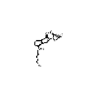 O=C1CCC(N2Cc3c(cccc3[S+]([O-])CCCCCBr)C2=O)C(=O)N1